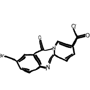 O=C(Cl)c1ccc2nc3ccc(Br)cc3c(=O)n2c1